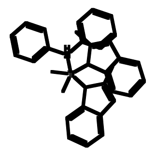 CC1=Cc2ccccc2[CH]1[Ti]([CH3])([CH3])([CH]1C(C)=Cc2ccccc21)[SiH](c1ccccc1)c1ccccc1